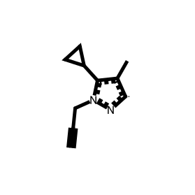 C#CCn1n[c]c(C)c1C1CC1